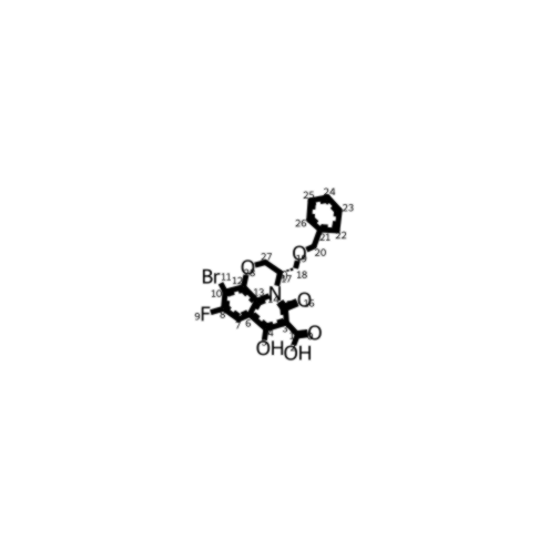 O=C(O)c1c(O)c2cc(F)c(Br)c3c2n(c1=O)[C@@H](COCc1ccccc1)CO3